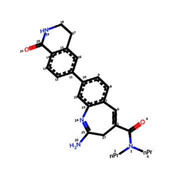 CCCN(CCC)C(=O)C1=Cc2ccc(-c3ccc4c(c3)CCNC4=O)cc2N=C(N)C1